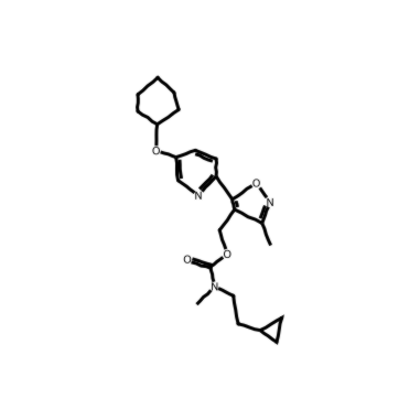 Cc1noc(-c2ccc(OC3CCCCC3)cn2)c1COC(=O)N(C)CCC1CC1